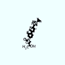 CC(O)[C@@H]1CN(c2ccc(-c3ccc(-c4nnn(C5CC5)n4)nc3)c(F)c2)C(=O)O1